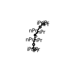 CCC/C(C#Cc1ccc(C#C[Si](C(C)C)(C(C)C)C(C)C)cc1)=C(\C#Cc1ccc(C#C/C(CCC)=C(/C#Cc2ccc(C#C[Si](C(C)C)(C(C)C)C(C)C)cc2)CCC)s1)CCC